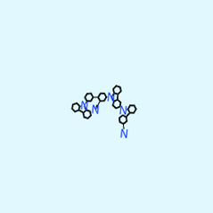 N#Cc1ccc2c(c1)c1ccccc1n2-c1ccc2c(c1)c1ccccc1n2-c1ccc(-c2cccc(-n3c4ccccc4c4ccccc43)c2)c(C#N)c1